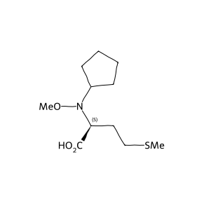 CON(C1CCCC1)[C@@H](CCSC)C(=O)O